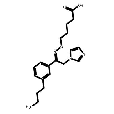 CCCCc1cccc(C(Cn2ccnc2)=NOCCCCC(=O)O)c1